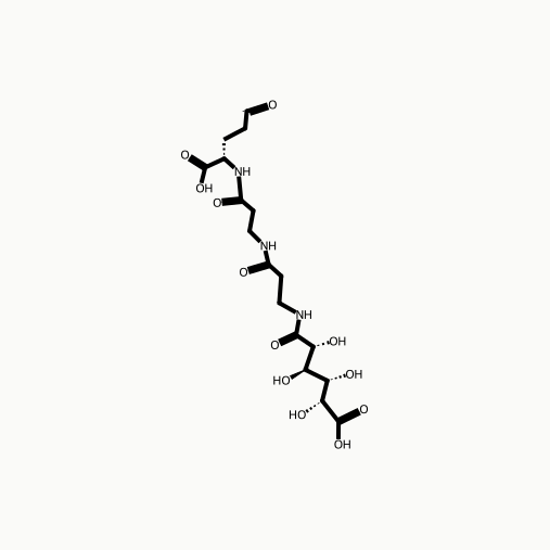 O=[C]CC[C@H](NC(=O)CCNC(=O)CCNC(=O)[C@H](O)[C@H](O)[C@H](O)[C@@H](O)C(=O)O)C(=O)O